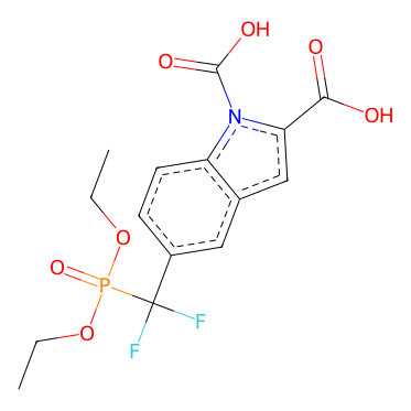 CCOP(=O)(OCC)C(F)(F)c1ccc2c(c1)cc(C(=O)O)n2C(=O)O